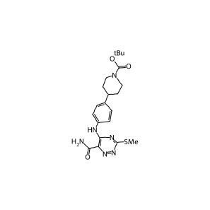 CSc1nnc(C(N)=O)c(Nc2ccc(C3CCN(C(=O)OC(C)(C)C)CC3)cc2)n1